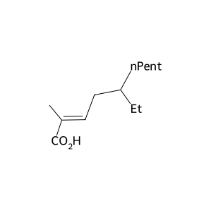 CCCCCC(CC)C/C=C(\C)C(=O)O